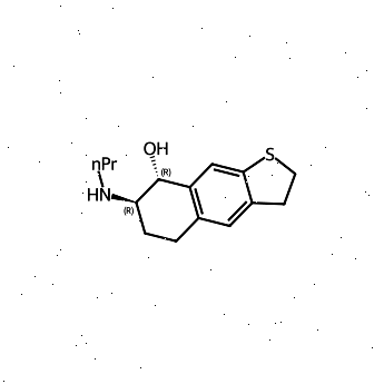 CCCN[C@@H]1CCc2cc3c(cc2[C@H]1O)SCC3